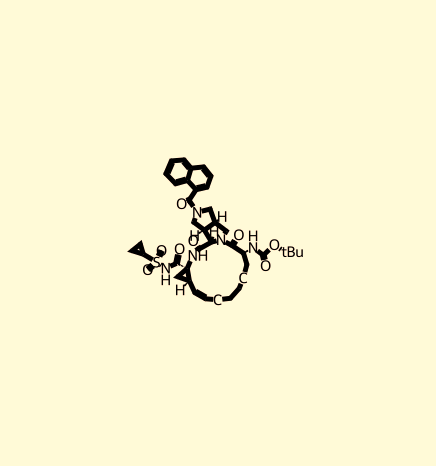 CC(C)(C)OC(=O)N[C@@H]1CCCCC/C=C\[C@H]2C[C@@]2(C(=O)NS(=O)(=O)C2CC2)NC(=O)[C@@H]2[C@H]3CN(C(=O)c4cccc5ccccc45)C[C@H]3CN2C1=O